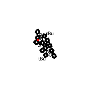 CC(C)(C)c1ccc(N(c2cc3c(c4ccccc24)-c2c(cc(N(c4ccc(C(C)(C)C)cc4)c4cccc5c4OC4CCCCC54)c4c2oc2ccccc24)C32c3ccccc3-c3ccccc32)c2cccc3c2oc2ccccc23)cc1